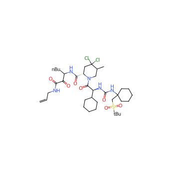 C=CCNC(=O)C(=O)C(CCCC)NC(=O)[C@@H]1CC(Cl)(Cl)C(C)CN1C(=O)[C@@H](NC(=O)NC1(CS(=O)(=O)C(C)(C)C)CCCCC1)C1CCCCC1